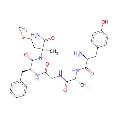 CSCC[C@](C)(NC(=O)[C@H](Cc1ccccc1)NC(=O)CNC(=O)[C@@H](C)NC(=O)[C@@H](N)Cc1ccc(O)cc1)C(N)=O